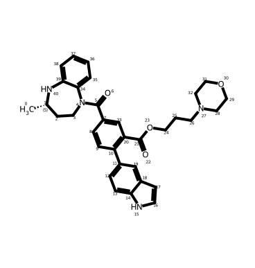 C[C@H]1CCN(C(=O)c2ccc(-c3ccc4[nH]ccc4c3)c(C(=O)OCCCN3CCOCC3)c2)c2ccccc2N1